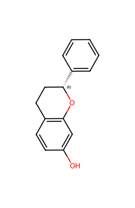 Oc1ccc2c(c1)O[C@@H](c1ccccc1)CC2